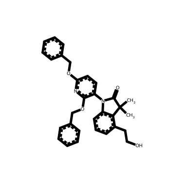 CC1(C)C(=O)N(c2ccc(OCc3ccccc3)nc2OCc2ccccc2)c2cccc(CCO)c21